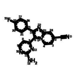 N#Cc1ccn2c(-c3ccnc(N)n3)c(-c3ccc(F)cc3)nc2c1